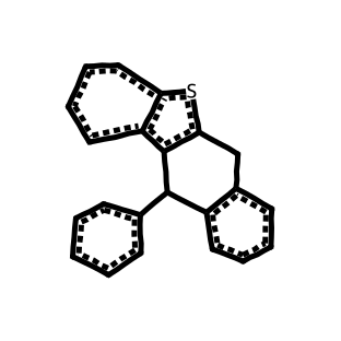 c1ccc(C2c3ccccc3Cc3sc4ccccc4c32)cc1